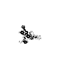 CC(NC(=O)N(c1nn(CC(F)(F)F)c2c(-c3ccc(C#CC(C)(C)S(C)(=O)=O)nc3[C@H](Cc3cc(F)cc(F)c3)NC(=O)Cn3nc(C(F)(F)F)c4c3C(F)(F)CC4)ccc(Cl)c12)S(C)(=O)=O)(C(=O)O)C(=O)O